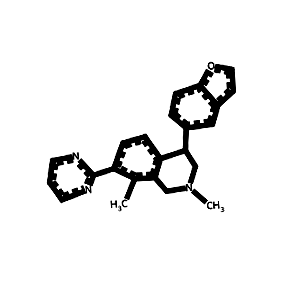 Cc1c(-c2ncccn2)ccc2c1CN(C)CC2c1ccc2occc2c1